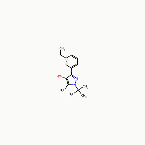 CCc1cccc(-c2nn(C(C)(C)C)c(C)c2O)c1